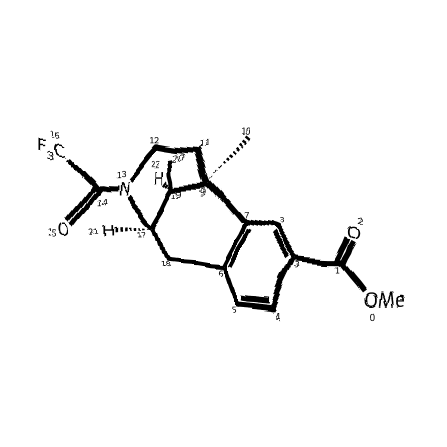 COC(=O)c1ccc2c(c1)[C@]1(C)CCN(C(=O)C(F)(F)F)[C@H](C2)[C@H]1C